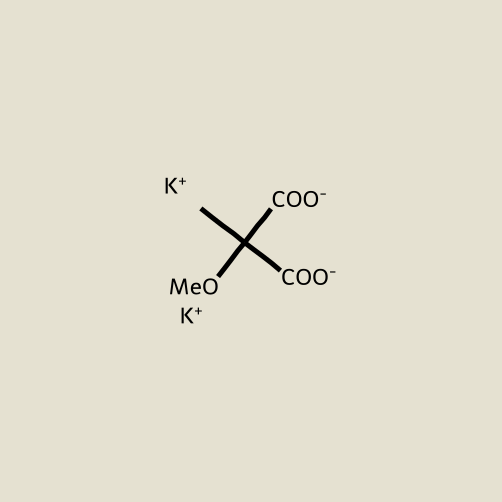 COC(C)(C(=O)[O-])C(=O)[O-].[K+].[K+]